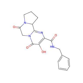 O=C(NCc1ccccc1)c1nc2n(c(=O)c1O)CC(=O)N1CCCC21